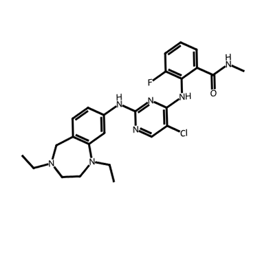 CCN1CCN(CC)c2cc(Nc3ncc(Cl)c(Nc4c(F)cccc4C(=O)NC)n3)ccc2C1